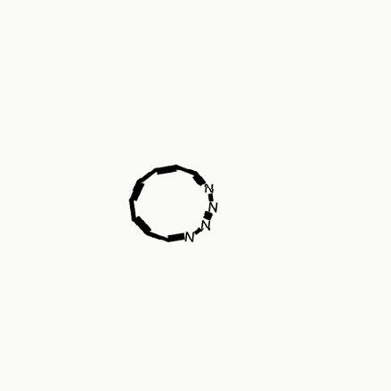 C1=CC=CC=NN=NN=CC=C1